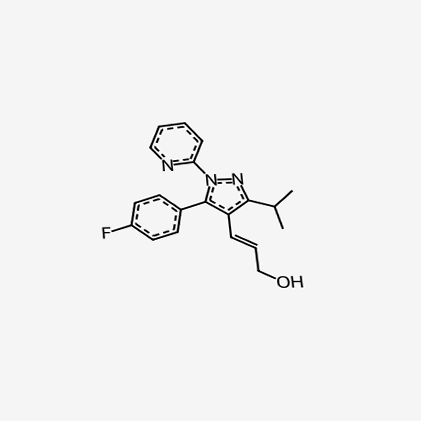 CC(C)c1nn(-c2ccccn2)c(-c2ccc(F)cc2)c1/C=C/CO